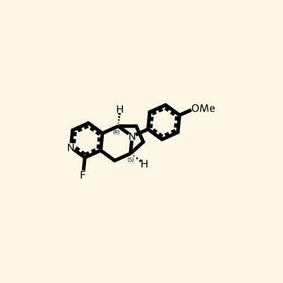 COc1ccc(N2[C@H]3CC[C@@H]2c2ccnc(F)c2C3)cc1